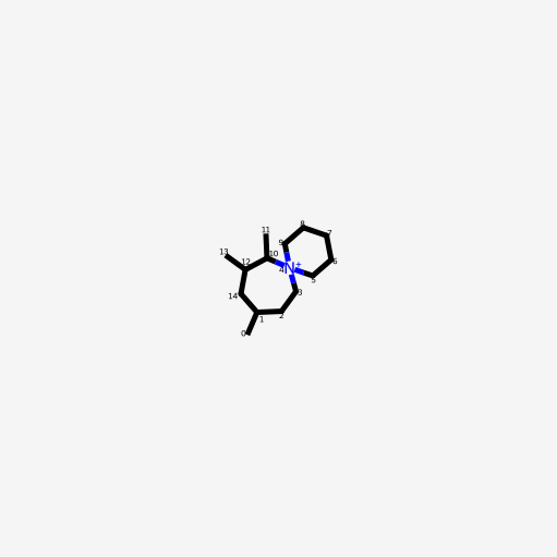 CC1CC[N+]2(CCCCC2)C(C)C(C)C1